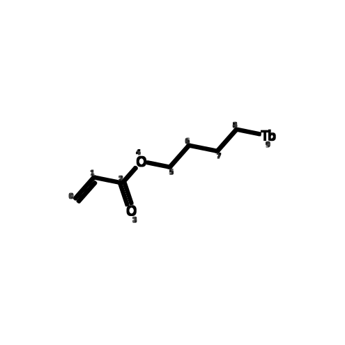 C=CC(=O)OCCC[CH2][Tb]